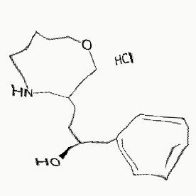 Cl.O[C@H](c1ccccc1)C1COCCN1